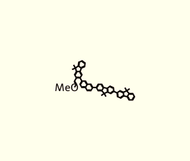 CO/C=C/c1cc2c(cc1-c1ccc3ccc(-c4ccc5c(c4)C(C)(C)c4cc(-c6ccc7c(c6)C(C)(C)c6ccccc6-7)ccc4-5)cc3c1)-c1ccccc1C2(C)C